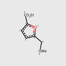 CCOC(=O)c1ccc(COC)o1